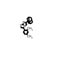 Cc1ccc(-c2csc3nc(C45CC6CC(CC(C6)C4)C5)cn23)c(C)c1